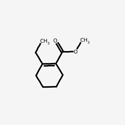 CCC1=C(C(=O)OC)CCCC1